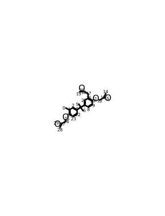 Cc1cc(C(C)(C)c2ccc(OCC3CO3)c(CC3CO3)c2)ccc1OCC1CO1